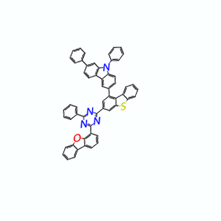 c1ccc(-c2ccc3c4cc(-c5cc(-c6nc(-c7ccccc7)nc(-c7cccc8c7oc7ccccc78)n6)cc6sc7ccccc7c56)ccc4n(-c4ccccc4)c3c2)cc1